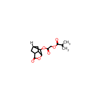 C=C(C)C(=O)OCC(=O)OC1C2OC(=O)C3C[C@@H]1CC32